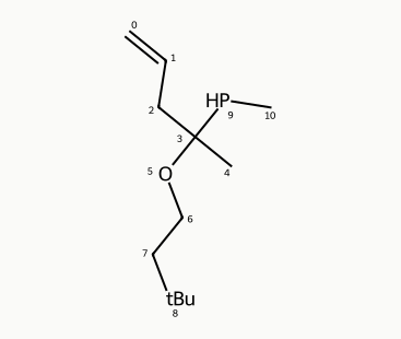 C=CCC(C)(OCCC(C)(C)C)PC